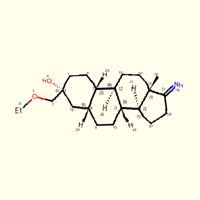 CCOC[C@@]1(O)CC[C@H]2[C@H](CC[C@@H]3[C@@H]2CC[C@]2(C)C(=N)CC[C@@H]32)C1